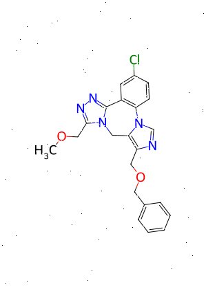 COCc1nnc2n1Cc1c(COCc3ccccc3)ncn1-c1ccc(Cl)cc1-2